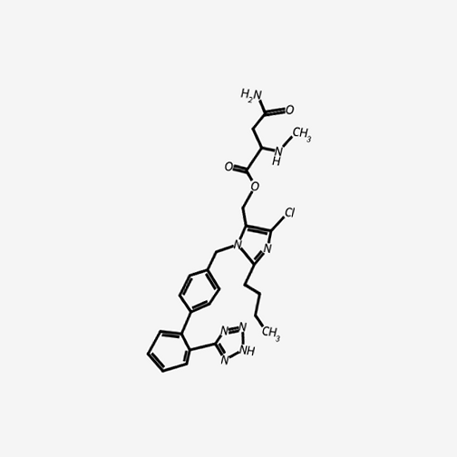 CCCCc1nc(Cl)c(COC(=O)C(CC(N)=O)NC)n1Cc1ccc(-c2ccccc2-c2nn[nH]n2)cc1